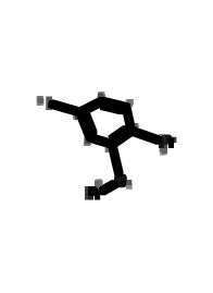 CC(C)Oc1cc(I)ccc1C(C)C